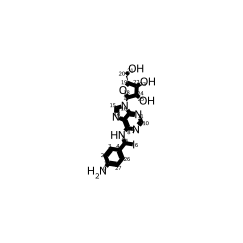 Nc1ccc(C(I)Nc2ncnc3c2ncn3[C@@H]2O[C@H](CO)C(O)C2O)cc1